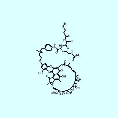 CCOCCC(=O)NC(C(=O)N[C@@H](CCCNC(N)=O)C(=O)Nc1ccc(C[N+](C)(C)CCOc2cc(O)c3nc4c5c6c7c(C)c(O)c5c(=O)c(c-4oc3c2)NC(=O)/C(C)=C\C=C\[C@H](C)[C@H](O)[C@@H](C)[C@@H](O)[C@@H](C)[C@H](OC(C)=O)[C@H](C)[C@@H](OC)/C=C/O[C@@](C)(O7)C6=O)cc1)C(C)C